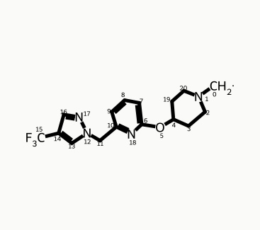 [CH2]N1CCC(Oc2cccc(Cn3cc(C(F)(F)F)cn3)n2)CC1